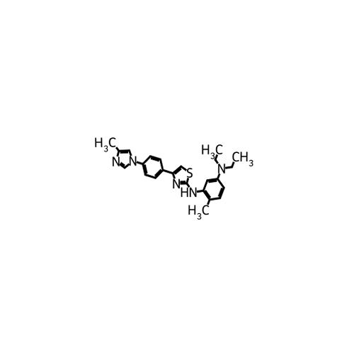 CCN(CC)c1ccc(C)c(Nc2nc(-c3ccc(-n4cnc(C)c4)cc3)cs2)c1